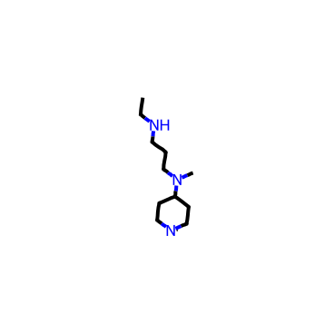 CCNCCCN(C)C1CC[N]CC1